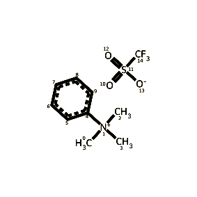 C[N+](C)(C)c1ccccc1.O=S(=O)([O-])C(F)(F)F